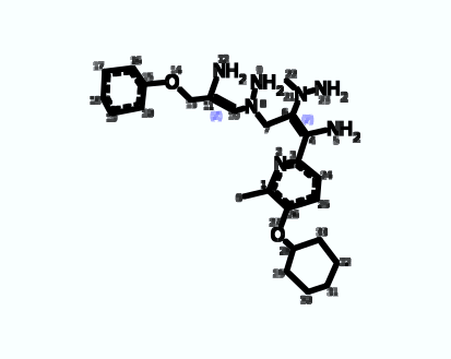 Cc1nc(/C(N)=C(\CN(N)/C=C(\N)COc2ccccc2)N(C)N)ccc1OC1CCCCC1